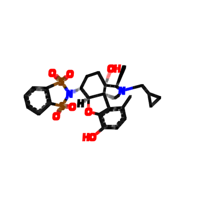 Cc1ccc(O)c2c1[C@]13CCN(CC4CC4)[C@H](C)[C@]1(O)CC[C@@H](N1S(=O)(=O)c4ccccc4S1(=O)=O)[C@@H]3O2